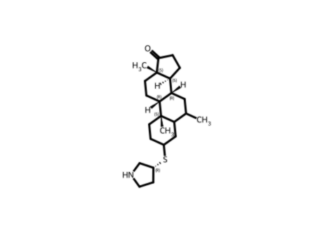 CC1C[C@@H]2[C@@H](CC[C@]3(C)C(=O)CC[C@@H]23)[C@@]2(C)CCC(S[C@@H]3CCNC3)CC12